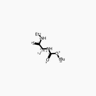 CCNC(=S)[C@@H](C)NC(=O)OC(C)(C)C